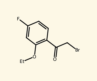 CCOc1cc(F)ccc1C(=O)CBr